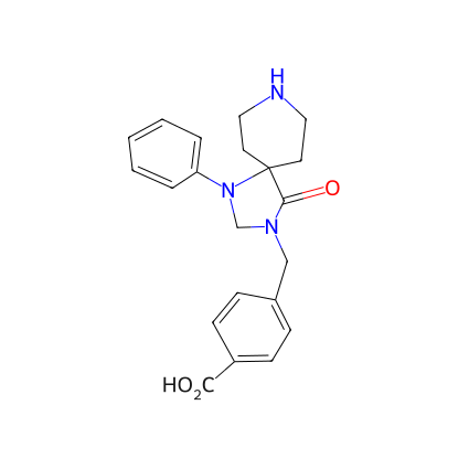 O=C(O)c1ccc(CN2CN(c3ccccc3)C3(CCNCC3)C2=O)cc1